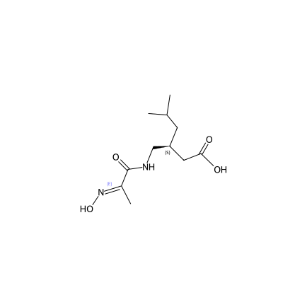 C/C(=N\O)C(=O)NC[C@H](CC(=O)O)CC(C)C